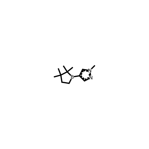 Cn1cc(B2CCC(C)(C)C2(C)C)cn1